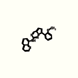 COc1ccccc1-c1ccc2cnc(Nc3cccc4cccnc34)nn12